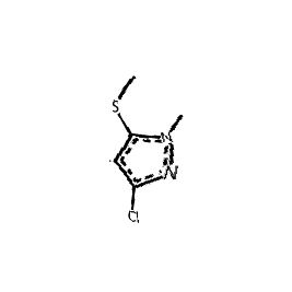 CSc1[c]c(Cl)nn1C